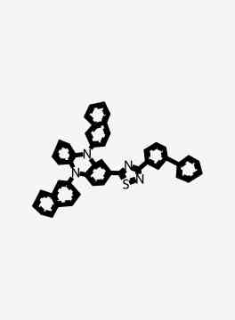 c1ccc(-c2cccc(-c3nsc(-c4ccc5c(c4)N(c4ccc6ccccc6c4)c4ccccc4N5c4ccc5ccccc5c4)n3)c2)cc1